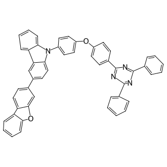 c1ccc(-c2nc(-c3ccccc3)nc(-c3ccc(Oc4ccc(-n5c6ccccc6c6cc(-c7ccc8c(c7)oc7ccccc78)ccc65)cc4)cc3)n2)cc1